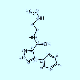 O=C(O)NCCNC(=O)c1nocc1-c1ccccc1